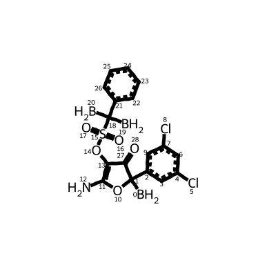 BC1(c2cc(Cl)cc(Cl)c2)OC(N)=C(OS(=O)(=O)C(B)(B)c2ccccc2)C1=O